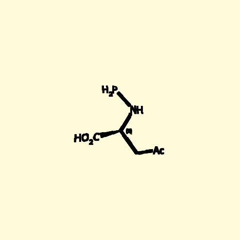 CC(=O)C[C@H](NP)C(=O)O